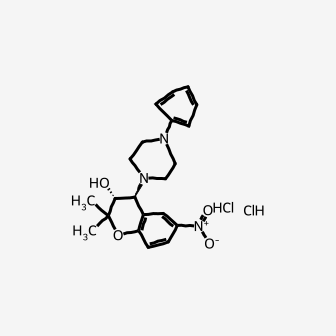 CC1(C)Oc2ccc([N+](=O)[O-])cc2[C@H](N2CCN(c3ccccc3)CC2)[C@H]1O.Cl.Cl